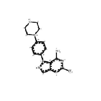 Nc1nc(C(F)(F)F)nc2cnn(-c3ccc(N4CCOCC4)cc3)c12